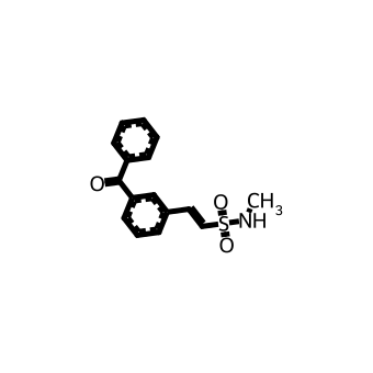 CNS(=O)(=O)C=Cc1cccc(C(=O)c2ccccc2)c1